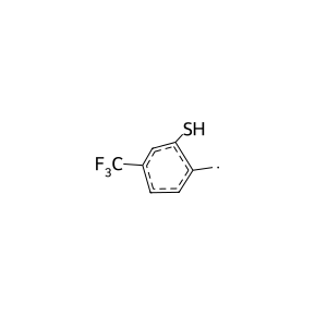 [CH2]c1ccc(C(F)(F)F)cc1S